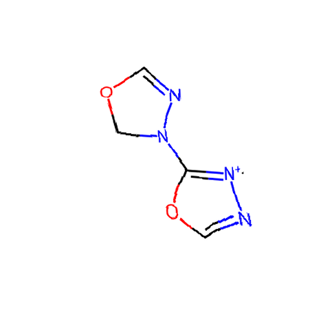 C1=N[N+]=C(N2COC=N2)O1